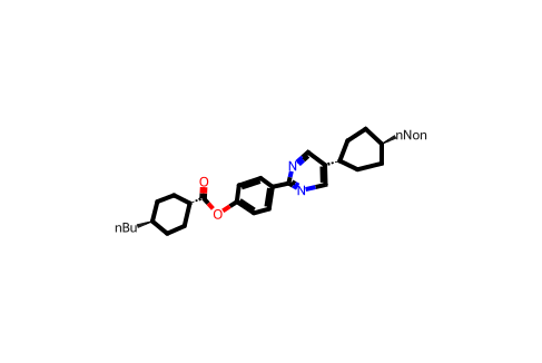 CCCCCCCCC[C@H]1CC[C@H](c2cnc(-c3ccc(OC(=O)[C@H]4CC[C@H](CCCC)CC4)cc3)nc2)CC1